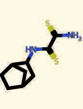 NC(=S)C(=S)NC1CC2CCC1C2